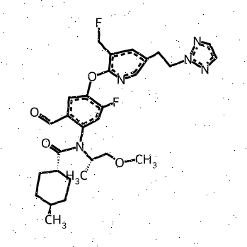 COC[C@H](C)N(c1cc(F)c(Oc2ncc(CCn3nccn3)cc2CF)cc1C=O)C(=O)[C@H]1CC[C@H](C)CC1